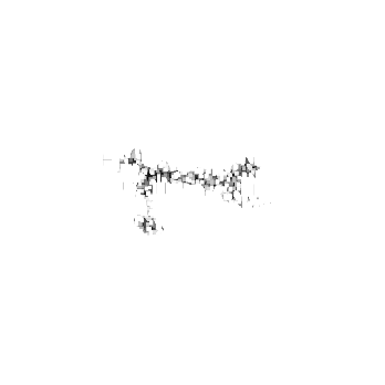 CNc1cccc2c1[nH]c1nc(Oc3cnc(C)nc3)nc(N3C[C@@H]4C(NC(=O)OCc5ccc(NC(=O)[C@H](CCCNC(N)=O)NC(=O)C(NC(=O)CCCCCN6C(=O)C=CC6=O)C(C)C)cc5)[C@@H]4C3)c12